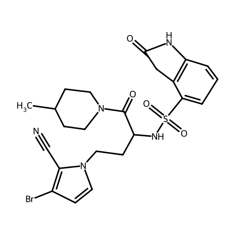 CC1CCN(C(=O)C(CCn2ccc(Br)c2C#N)NS(=O)(=O)c2cccc3c2CC(=O)N3)CC1